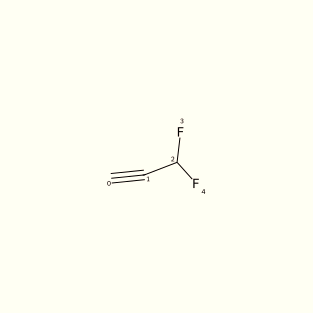 C#CC(F)F